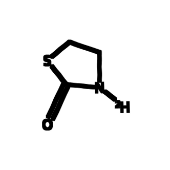 [2H]N1CCSC1=O